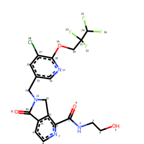 O=C(NCCO)c1nccc2c1CN(Cc1cnc(OCC(F)(F)C(F)F)c(Cl)c1)C2=O